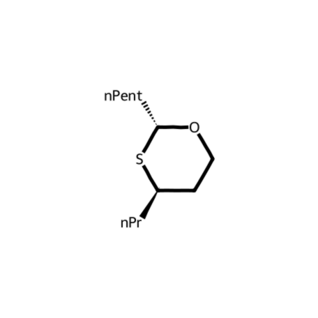 CCCCC[C@@H]1OCC[C@@H](CCC)S1